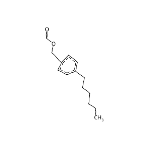 CCCCCCc1ccc(COC=O)cc1